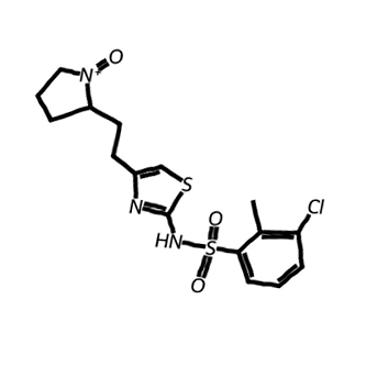 Cc1c(Cl)cccc1S(=O)(=O)Nc1nc(CCC2CCC[N+]2=O)cs1